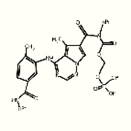 CCCNC(=O)c1ccc(C)c(Nc2ncnn3cc(C(=O)N(CCC)C(=O)OCOP(=O)(O)O)c(C)c23)c1